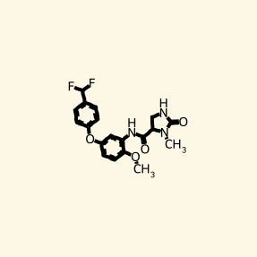 COc1ccc(Oc2ccc(C(F)F)cc2)cc1NC(=O)C1CNC(=O)N1C